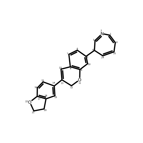 C1=CN=CC(c2ccc3c(c2)OCC(c2ccc4c(c2)CCO4)=C3)C=C1